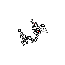 CC(C)c1ccc2c(c1)c1c(N(c3ccc4cc(-c5ccccc5)ccc4c3)c3cccc4c3c3ccccc3n4-c3ccccc3)ccc3c4cc5c(ccc6oc7cc(N(c8ccc9cc(-c%10ccccc%10)ccc9c8)c8cccc9c8c8ccccc8n9-c8ccccc8)ccc7c65)cc4n2c31